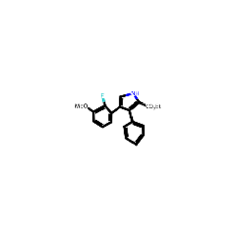 CCOC(=O)c1[nH]cc(-c2cccc(OC)c2F)c1-c1ccccc1